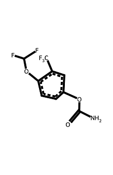 NC(=O)Oc1ccc(OC(F)F)c(C(F)(F)F)c1